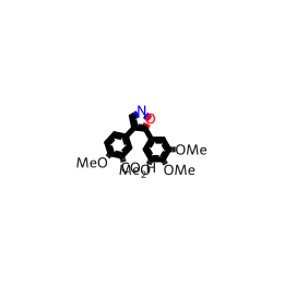 COc1ccc(-c2cnoc2-c2cc(OC)c(OC)c(OC)c2)cc1C(=O)O